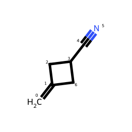 C=C1CC(C#N)C1